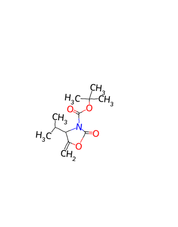 C=C1OC(=O)N(C(=O)OC(C)(C)C)C1C(C)C